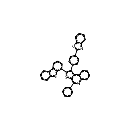 c1ccc(-c2nc3ccccc3c3c(-c4ccc(-c5nc6ccccc6o5)cc4)c(-c4cccc5c4sc4ccccc45)sc23)cc1